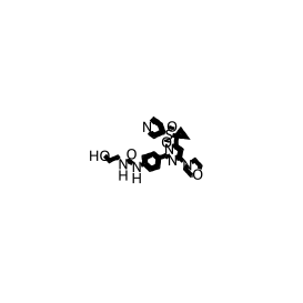 O=C(NCCO)Nc1ccc(-c2nc(N3CCOCC3)cc(C3(S(=O)(=O)c4ccncc4)CC3)n2)cc1